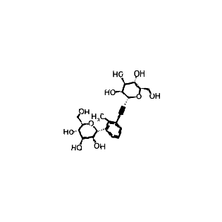 Cc1c(C#C[C@H]2O[C@H](CO)[C@@H](O)[C@H](O)[C@@H]2O)cccc1[C@H]1O[C@H](CO)[C@@H](O)[C@H](O)[C@@H]1O